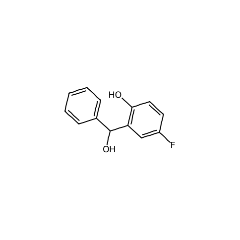 Oc1ccc(F)cc1C(O)c1ccccc1